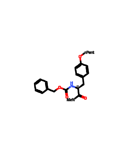 CCCCCOc1ccc(C[C@H](NC(=O)OCc2ccccc2)C(=O)NC)cc1